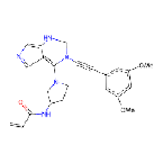 C=CC(=O)NC1CCN(C2=C3C=NC=C3NCN2C#Cc2cc(OC)cc(OC)c2)C1